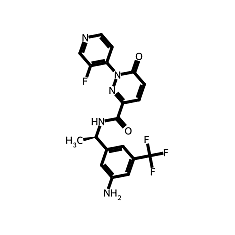 C[C@@H](NC(=O)c1ccc(=O)n(-c2ccncc2F)n1)c1cc(N)cc(C(F)(F)F)c1